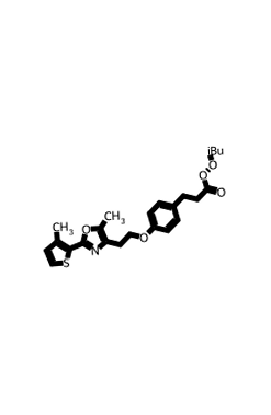 CCC(C)OOC(=O)CCc1ccc(OCCc2nc(-c3sccc3C)oc2C)cc1